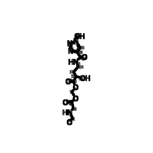 O=CNCC(=O)OCOC(=O)C(O)CCNC(=O)c1cn(O)nn1